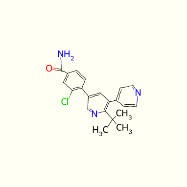 CC(C)(C)c1ncc(-c2ccc(C(N)=O)cc2Cl)cc1-c1ccncc1